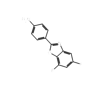 Nc1ccc(-c2nc3cc(F)cc(F)c3o2)cc1